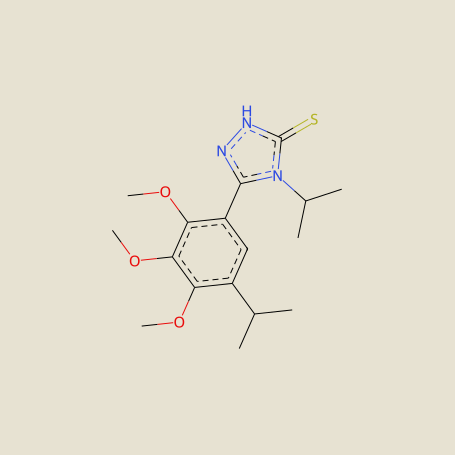 COc1c(-c2n[nH]c(=S)n2C(C)C)cc(C(C)C)c(OC)c1OC